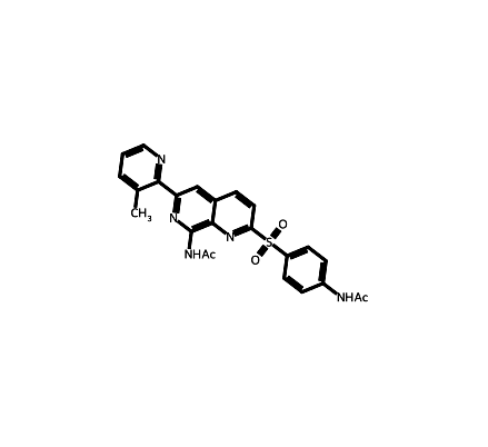 CC(=O)Nc1ccc(S(=O)(=O)c2ccc3cc(-c4ncccc4C)nc(NC(C)=O)c3n2)cc1